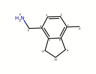 Cc1ccc(CN)c2c1CCC2